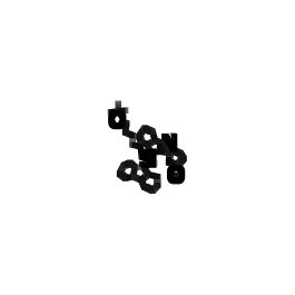 COc1ccc2c(c1)C1C(C3C=CC=CC3C1[Si](C)(CCCCCCOC(C)(C)C)C1C3C=CC=CC3C3C=CC=CC31)N2C